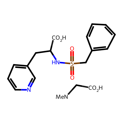 CNCC(=O)O.O=C(O)C(Cc1cccnc1)NS(=O)(=O)Cc1ccccc1